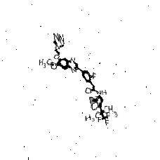 COc1cc2nc(-c3ccc(CC(=O)Nc4cc(C(C)(C)C(F)(F)F)on4)c(F)c3)cnc2cc1OCCn1cnnc1